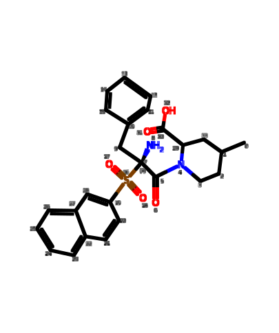 CC1CCN(C(=O)[C@@](N)(Cc2ccccc2)S(=O)(=O)c2ccc3ccccc3c2)C(C(=O)O)C1